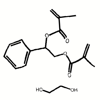 C=C(C)C(=O)OCC(OC(=O)C(=C)C)c1ccccc1.OCCO